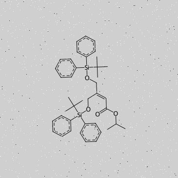 CC(C)OC(=O)C=C(CO[Si](c1ccccc1)(c1ccccc1)C(C)(C)C)CO[Si](c1ccccc1)(c1ccccc1)C(C)(C)C